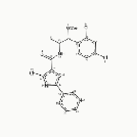 COC(c1ccc(Cl)cc1Cl)C(C)NC(=O)c1sc(-c2cccnc2)nc1Cl